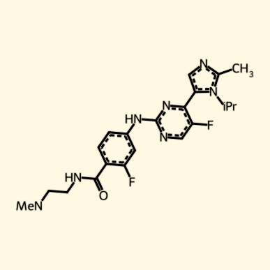 CNCCNC(=O)c1ccc(Nc2ncc(F)c(-c3cnc(C)n3C(C)C)n2)cc1F